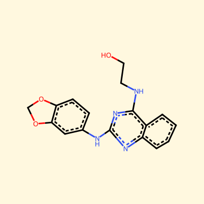 OCCNc1nc(Nc2ccc3c(c2)OCO3)nc2ccccc12